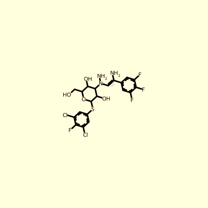 N/C(=C\N(N)C1C(O)C(CO)OC(Sc2cc(Cl)c(F)c(Cl)c2)C1O)c1cc(F)c(F)c(F)c1